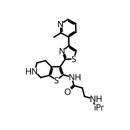 Cc1ncccc1-c1csc(-c2c(NC(=O)CCNC(C)C)sc3c2CCNC3)n1